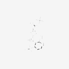 CC(C)(C)OC(=O)N1CC(Nc2c(P(C)(C)=O)ccnc2Cl)C1